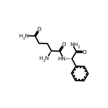 NC(=O)CC[C@H](N)C(=O)N[C@H](C(N)=O)c1ccccc1